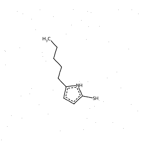 CCCCCc1ccc(S)[nH]1